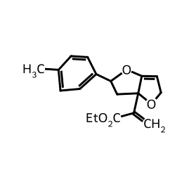 C=C(C(=O)OCC)C12CC(c3ccc(C)cc3)OC1=CCO2